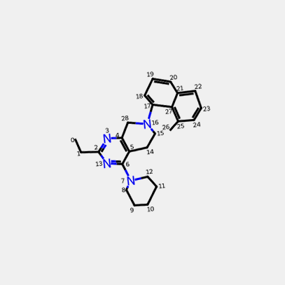 CCc1nc2c(c(N3CCCCC3)n1)CCN(c1cccc3cccc(C)c13)C2